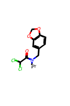 CC(C)N(Cc1ccc2c(c1)OCO2)C(=O)C(Cl)Cl